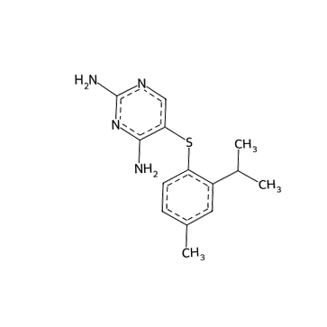 Cc1ccc(Sc2cnc(N)nc2N)c(C(C)C)c1